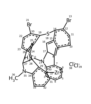 CN1c2ccc[c]3c2C2=c4ccc(Br)c(c4=CC21)Sc1c(Br)ccc2c1=CC1C=2c2[c](cccc2N1C)[Zr+2]3.[Cl-].[Cl-]